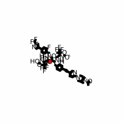 COC(=O)N[C@H](C(=O)N[C@@H](Cc1ccc(C#Cc2ccc(N3CC4CC(CN(C(C)=O)C4)C3)nc2)cc1)[C@@H](O)CN(Cc1c(F)cc(-c2cnn(C(F)F)c2)cc1F)NC(=O)[C@@H](NC(=O)O)C(C)(C)C(F)(F)F)C(C)(C)C(F)(F)F